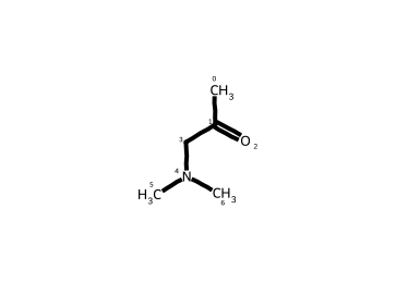 CC(=O)CN(C)C